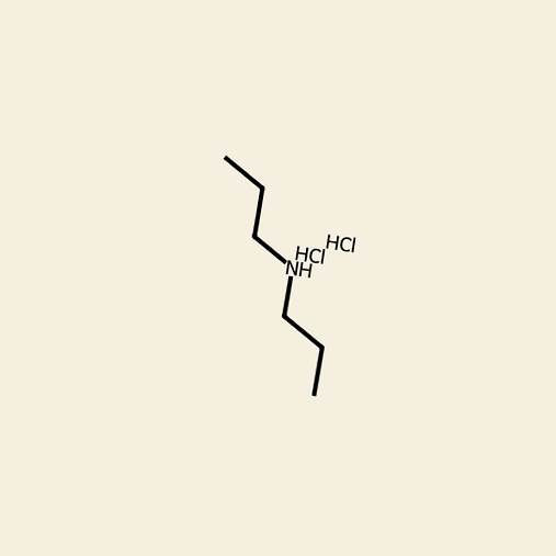 CCCNCCC.Cl.Cl